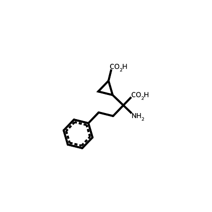 NC(CCc1ccccc1)(C(=O)O)C1CC1C(=O)O